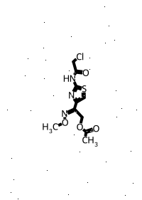 CO/N=C(\COC(C)=O)c1csc(NC(=O)CCl)n1